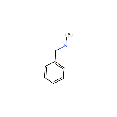 CCCC[N]Cc1ccccc1